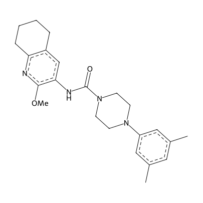 COc1nc2c(cc1NC(=O)N1CCN(c3cc(C)cc(C)c3)CC1)CCCC2